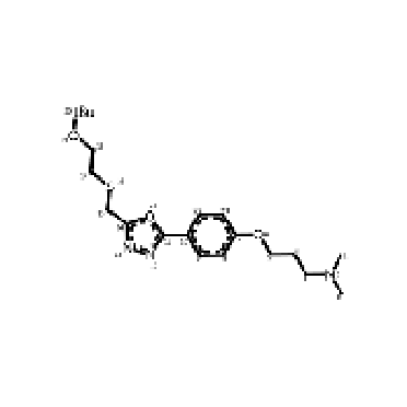 CN(C)CCCOc1ccc(-c2nnc(CSCCOC(C)(C)C)o2)cc1